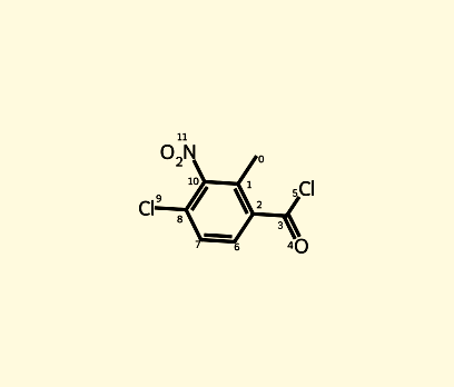 Cc1c(C(=O)Cl)ccc(Cl)c1[N+](=O)[O-]